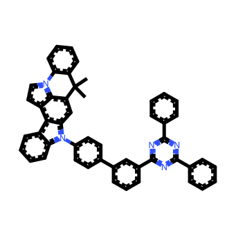 CC1(C)c2ccccc2-n2ccc3c4c5ccccc5n(-c5ccc(-c6cccc(-c7nc(-c8ccccc8)nc(-c8ccccc8)n7)c6)cc5)c4cc1c32